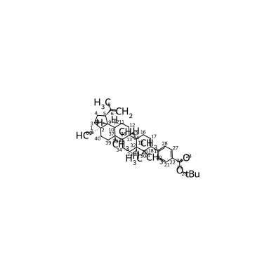 C#C[C@]12CC[C@@H](C(=C)C)[C@@H]1[C@H]1CC[C@@H]3[C@@]4(C)CC=C(c5ccc(C(=O)OC(C)(C)C)cc5)C(C)(C)[C@@H]4CC[C@@]3(C)[C@]1(C)CC2